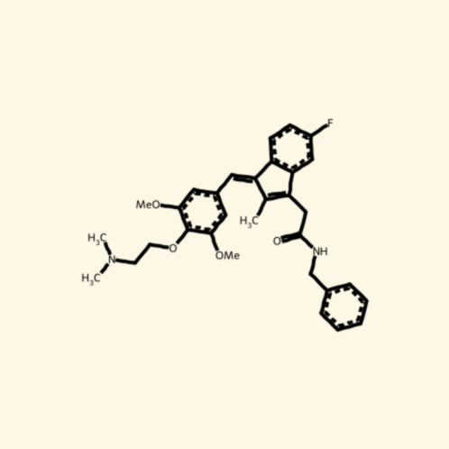 COc1cc(C=C2C(C)=C(CC(=O)NCc3ccccc3)c3cc(F)ccc32)cc(OC)c1OCCN(C)C